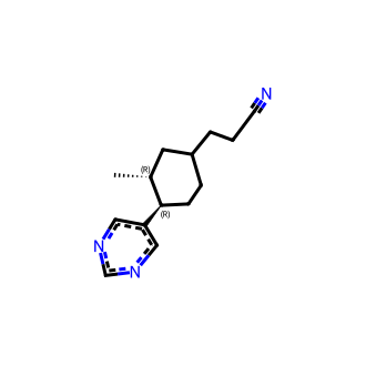 C[C@@H]1CC(CCC#N)CC[C@H]1c1cncnc1